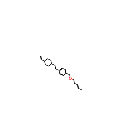 C=CC1CCC(CCc2ccc(COCCC=CC)cc2)CC1